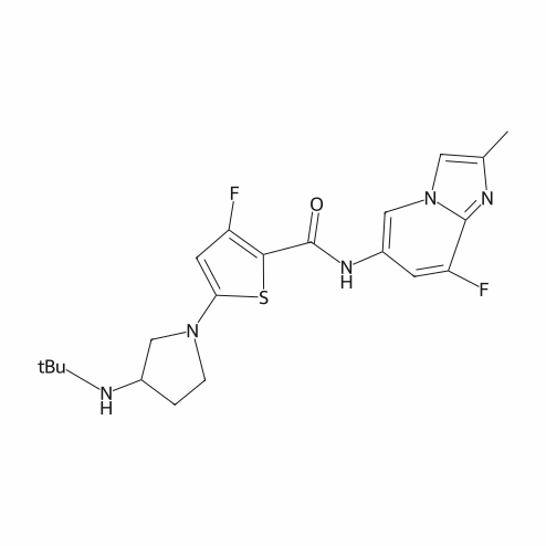 Cc1cn2cc(NC(=O)c3sc(N4CCC(NC(C)(C)C)C4)cc3F)cc(F)c2n1